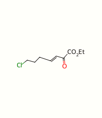 CCOC(=O)C(=O)C=CCCCCl